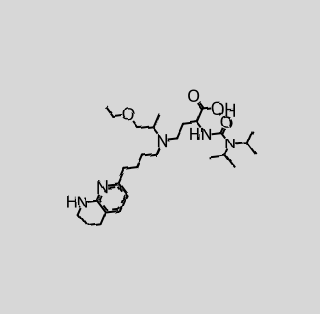 CCOCC(C)N(CCCCc1ccc2c(n1)NCCC2)CCC(NC(=O)N(C(C)C)C(C)C)C(=O)O